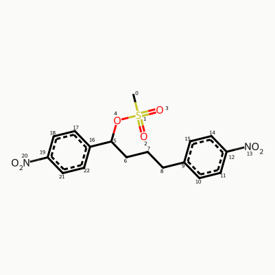 CS(=O)(=O)OC(CCCc1ccc([N+](=O)[O-])cc1)c1ccc([N+](=O)[O-])cc1